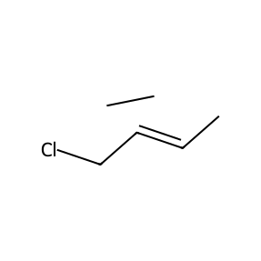 CC.CC=CCCl